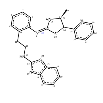 C[C@@H]1N/C(=N\c2ccccc2CCNc2nc3ccccc3s2)SC1c1ccccc1